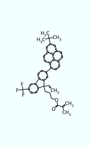 C=CC1(CCCOC(=O)C(=C)C)c2ccc(C(F)(F)F)cc2-c2ccc(-c3ccc4ccc5cc(C(C)(C)C)cc6ccc3c4c56)cc21